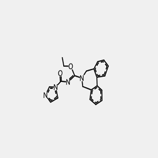 CCO/C(=N\C(=O)n1ccnc1)N1Cc2ccccc2-c2ccccc2C1